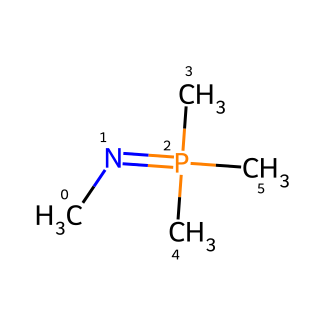 CN=P(C)(C)C